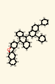 c1ccc(-c2ccc3cc(-c4c5ccccc5c(-c5ccc6oc7cc8ccccc8cc7c6c5)c5ccccc45)cc(-c4ccccc4)c3c2)cc1